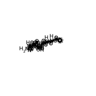 CC(C)(COP(=O)(O)OP(=O)(O)OC[C@H]1O[C@@H](n2cnc3c(N)ncnc32)[C@H](O)[C@@H]1OP(=O)(O)O)[C@@H](O)C(=O)NCCC(=O)NCCSC(=O)C1CCCCCC1